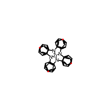 c1ccc([N](c2ccccc2)[Zr]([N](c2ccccc2)c2ccccc2)([N](c2ccccc2)c2ccccc2)[N](c2ccccc2)c2ccccc2)cc1